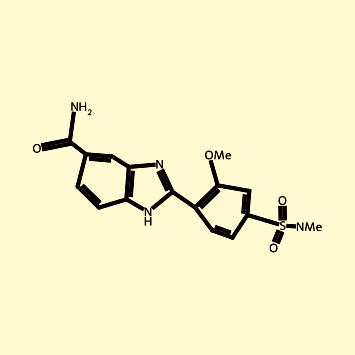 CNS(=O)(=O)c1ccc(-c2nc3cc(C(N)=O)ccc3[nH]2)c(OC)c1